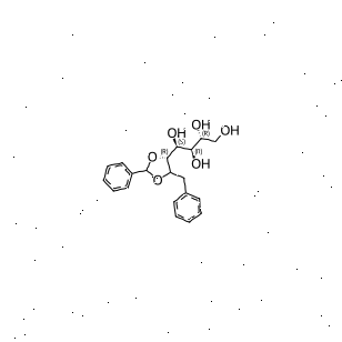 OC[C@@H](O)[C@@H](O)[C@H](O)[C@H]1OC(c2ccccc2)OC1Cc1ccccc1